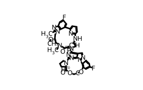 CO[C@H]1CN(C)C(=O)[C@@H]2C[C@@H](CN2c2nc3nc4c2cnn4-c2ccc(F)cc2OCCOC(=O)[C@@H]2CCCN32)Nc2cccc(n2)-c2cc(F)cc3nc(C)n(c23)C1